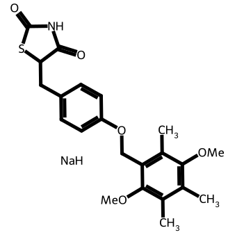 COc1c(C)c(C)c(OC)c(COc2ccc(CC3SC(=O)NC3=O)cc2)c1C.[NaH]